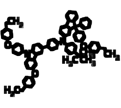 C=Cc1ccc(Oc2ccc(-n3c4ccc(Oc5ccc(C=C)cc5)cc4c4cc(-c5ccc(N(c6ccc(C(C)(C)C)cc6)c6ccc7c(c6)C(c6ccccc6)(c6ccc(Oc8ccc(C=C)cc8)cc6)c6ccccc6-7)cc5)ccc43)cc2)cc1